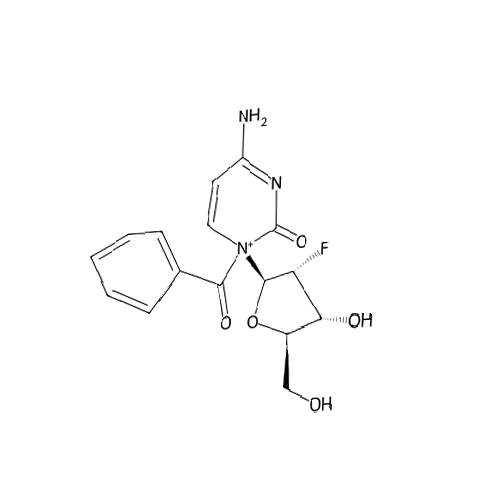 NC1=NC(=O)[N+](C(=O)c2ccccc2)([C@@H]2O[C@H](CO)[C@@H](O)[C@H]2F)C=C1